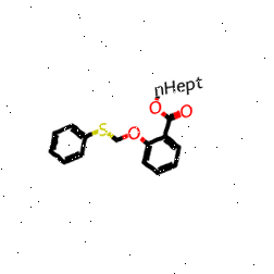 CCCCCCCOC(=O)c1ccccc1OCSc1ccccc1